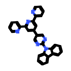 c1ccc(-c2cc(-c3cnc(-n4c5ccccc5c5ccccc54)nc3)cc(-c3ccccn3)n2)nc1